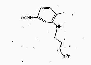 CCCOCCNc1cc(NC(C)=O)ccc1C